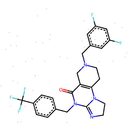 O=C1C2=C(CCN(Cc3cc(F)cc(F)c3)C2)N2CCN=C2N1Cc1ccc(C(F)(F)F)cc1